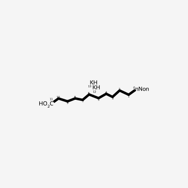 CCCCCCCCCCCCCCCCCCCC(=O)O.[KH].[KH]